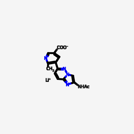 CC(=O)Nc1cn2nc(-c3cc(C(=O)[O-])cnc3C)ccc2n1.[Li+]